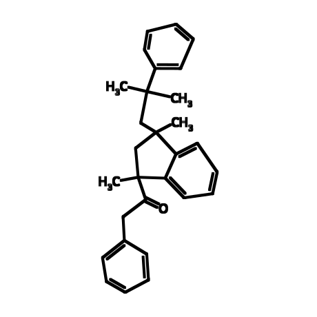 CC(C)(CC1(C)CC(C)(C(=O)Cc2ccccc2)c2ccccc21)c1ccccc1